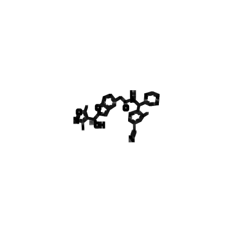 Cc1cc(C#N)ccc1C(NC(=O)Cc1ccc2oc([C@@H](O)c3c(C)noc3C)cc2c1)c1ccccc1